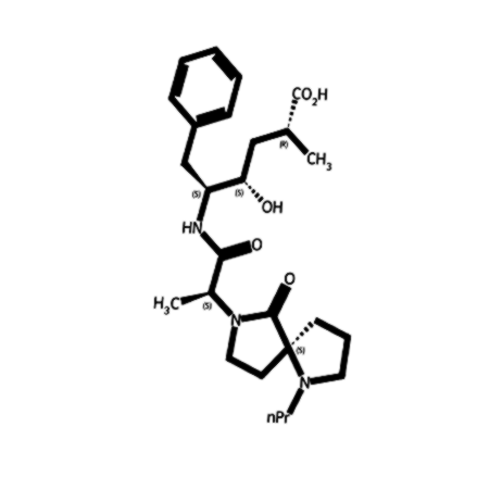 CCCN1CCC[C@@]12CCN([C@@H](C)C(=O)N[C@@H](Cc1ccccc1)[C@@H](O)C[C@@H](C)C(=O)O)C2=O